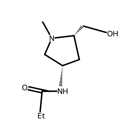 CCC(=O)N[C@H]1C[C@@H](CO)N(C)C1